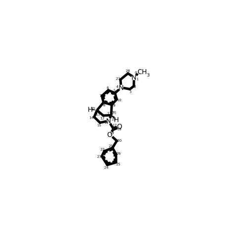 CN1CCN(c2ccc3c(c2)[C@H]2C[C@H]3CCN2C(=O)OCc2ccccc2)CC1